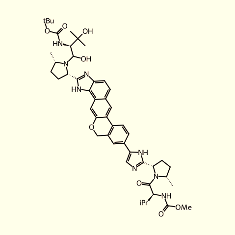 COC(=O)N[C@H](C(=O)N1[C@@H](C)CC[C@H]1c1ncc(-c2ccc3c(c2)COc2cc4c(ccc5nc([C@@H]6CC[C@H](C)N6C(O)[C@@H](NC(=O)OC(C)(C)C)C(C)(C)O)[nH]c54)cc2-3)[nH]1)C(C)C